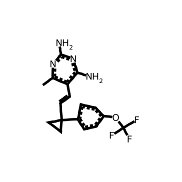 Cc1nc(N)nc(N)c1C=CC1(c2ccc(OC(F)(F)F)cc2)CC1